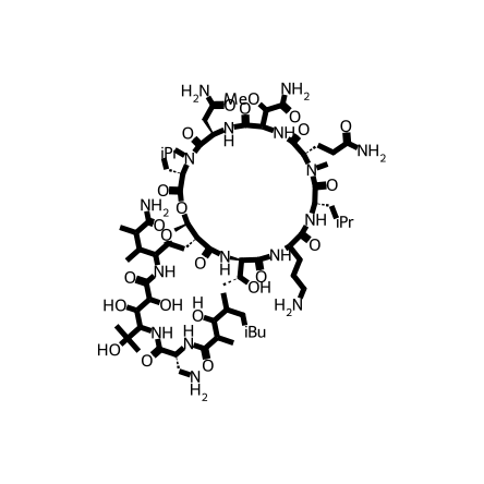 CCC(C)CC(C)C(O)C(C)C(=O)N[C@H](CN)C(=O)NC(C(O)C(O)C(=O)NC(C(=O)C[C@H]1C(=O)N[C@H]([C@@H](C)O)C(=O)NC(CCCN)C(=O)N[C@@H](CC(C)C)C(=O)N(C)[C@@H](CCC(N)=O)C(=O)NC(C(OC)C(N)=O)C(=O)N[C@H](CC(N)=O)C(=O)N(C)[C@@H](CC(C)C)C(=O)O[C@@H]1C)C(C)C(C)C(N)=O)C(C)(C)O